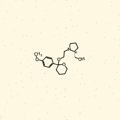 COc1ccc(C2(OCCN3CCC[C@@H]3CO)CCCCO2)cc1